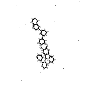 c1ccc(C2(c3ccccc3)c3ccccc3-c3cc4c(cc32)Oc2ccc(-c3cccc(-c5cnc6ccccc6n5)c3)cc2O4)cc1